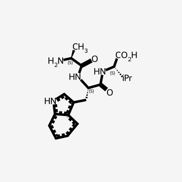 CC(C)[C@H](NC(=O)[C@H](Cc1c[nH]c2ccccc12)NC(=O)[C@H](C)N)C(=O)O